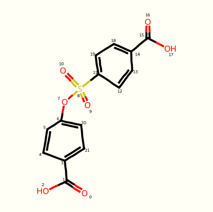 O=C(O)c1ccc(OS(=O)(=O)c2ccc(C(=O)O)cc2)cc1